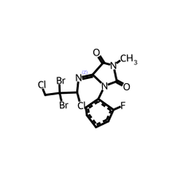 CN1C(=O)/C(=N/C(Cl)C(Br)(Br)CCl)N(c2ccccc2F)C1=O